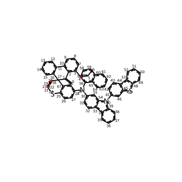 C=C1c2c(/C=C\C)cccc2-c2ccccc2C12c1ccccc1Sc1ccc(N(c3ccc4c5ccccc5n(-c5ccc6c(c5)sc5ccccc56)c4c3)c3cccc4ccccc34)cc12